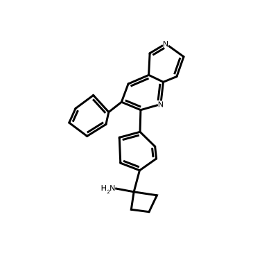 NC1(c2ccc(-c3nc4ccncc4cc3-c3ccccc3)cc2)CCC1